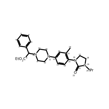 CCOC(=O)C(c1ccccc1)N1CCN(c2ccc(N3CCN(C(C)C)C3=O)c(C)c2)CC1